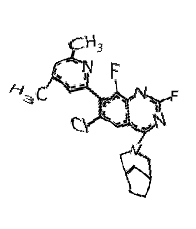 Cc1cc(C)nc(-c2c(Cl)cc3c(N4CC5CCC(C5)C4)nc(F)nc3c2F)c1